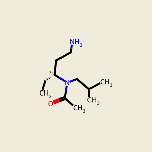 CC[C@H](CCN)N(CC(C)C)C(C)=O